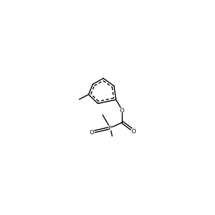 Cc1cccc(OC(=O)P(C)(C)=O)c1